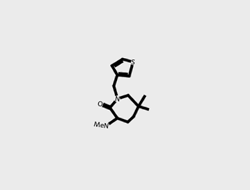 CNC1CCC(C)(C)CN(Cc2ccsc2)C1=O